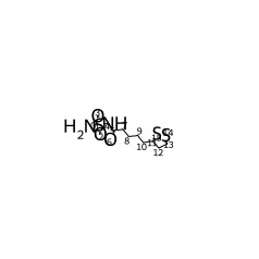 NS(=O)(=O)NC(=O)CCCCC1CCSS1